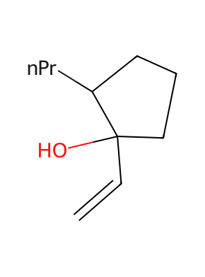 C=CC1(O)CCCC1CCC